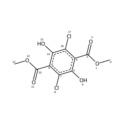 COC(=O)c1c(O)c(Cl)c(C(=O)OC)c(O)c1Cl